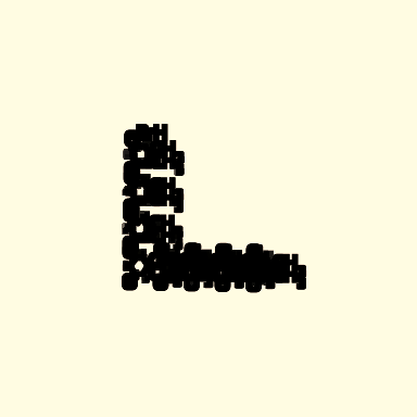 Br.Br.CC1(C)CC(=O)CC(=O)C1.CC1(C)CC(=O)CC(=O)C1.CC1(C)CC(=O)CC(=O)C1.CC1(C)CC(=O)CC(=O)C1.CC1(C)CC(=O)CC(=O)C1.CC1(C)CC(=O)CC(=O)C1.CC1(C)CC(=O)CC(=O)C1.CC1(C)CC(=O)CC(=O)C1